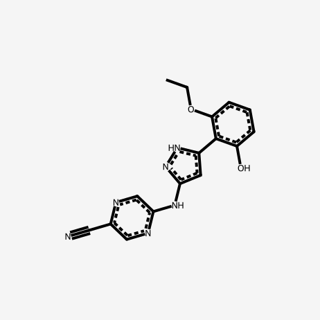 CCOc1cccc(O)c1-c1cc(Nc2cnc(C#N)cn2)n[nH]1